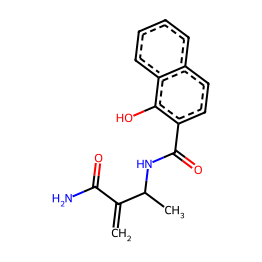 C=C(C(N)=O)C(C)NC(=O)c1ccc2ccccc2c1O